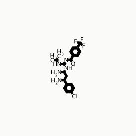 CC(C)N/C(=N/C(=O)c1ccc(C(F)(F)F)cc1)NC(N)CC(N)c1ccc(Cl)cc1